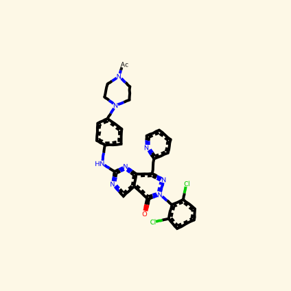 CC(=O)N1CCN(c2ccc(Nc3ncc4c(=O)n(-c5c(Cl)cccc5Cl)nc(-c5ccccn5)c4n3)cc2)CC1